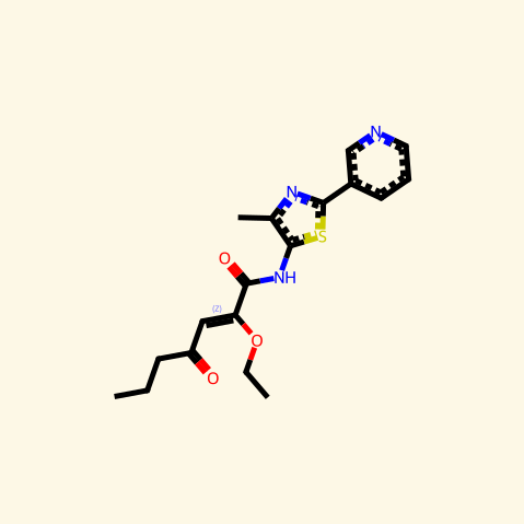 CCCC(=O)/C=C(\OCC)C(=O)Nc1sc(-c2cccnc2)nc1C